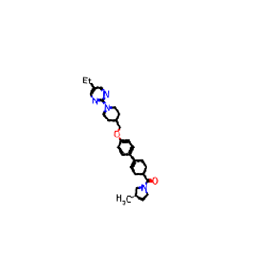 CCc1cnc(N2CCC(COc3ccc(C4=CCC(C(=O)N5CC[C@H](C)C5)CC4)cc3)CC2)nc1